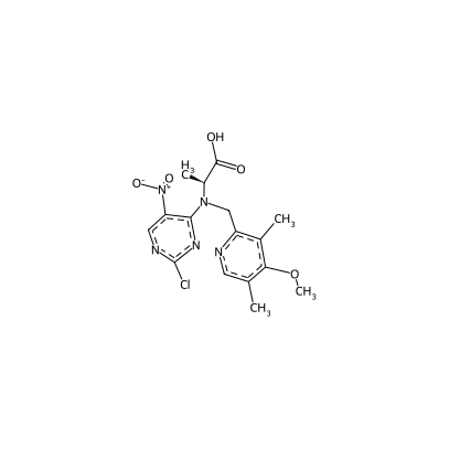 COc1c(C)cnc(CN(c2nc(Cl)ncc2[N+](=O)[O-])[C@@H](C)C(=O)O)c1C